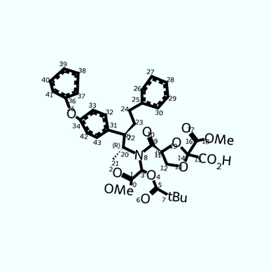 COC(=O)C(OC(=O)C(C)(C)C)N(C(=O)[C@@H]1COC(C(=O)O)(C(=O)OC)O1)[C@H](C)[C@H](CCc1ccccc1)c1ccc(Oc2ccccc2)cc1